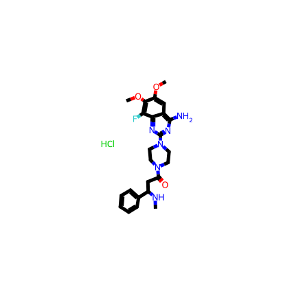 CNC(CC(=O)N1CCN(c2nc(N)c3cc(OC)c(OC)c(F)c3n2)CC1)c1ccccc1.Cl